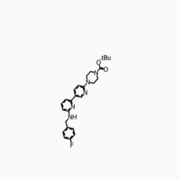 CC(C)(C)OC(=O)N1CCN(c2ccc(-c3cccc(NCc4ccc(F)cc4)n3)cn2)CC1